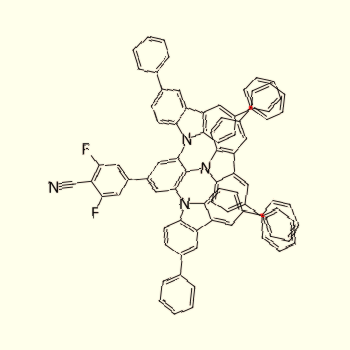 N#Cc1c(F)cc(-c2cc(-n3c4ccc(-c5ccccc5)cc4c4cc(-c5ccccc5)ccc43)c(-n3c4ccc(-c5ccccc5)cc4c4cc(-c5ccccc5)ccc43)c(-n3c4ccc(-c5ccccc5)cc4c4cc(-c5ccccc5)ccc43)c2)cc1F